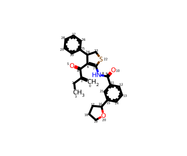 C=C(CC)C(=O)C1=C(NC(=O)c2cccc(C3CCCO3)c2)SCC1c1ccccc1